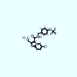 CCc1nc2ccc(Cl)cn2c1C(=O)NCc1ccc(OC(F)(F)F)cc1